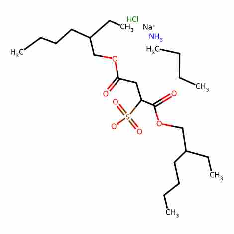 CCCC.CCCCC(CC)COC(=O)CC(C(=O)OCC(CC)CCCC)S(=O)(=O)[O-].Cl.N.[Na+]